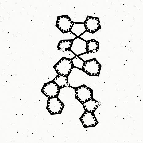 c1ccc2c(c1)-c1ccccc1C21c2ccccc2C2(c3ccccc3-c3c2ccc2c4ccc5ccccc5c4n(-c4ccc5oc6ccccc6c5c4)c32)c2ccccc21